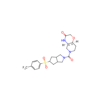 O=C1CO[C@H]2CCN(C(=O)N3CC4CC(S(=O)(=O)c5ccc(C(F)(F)F)cc5)CC4C3)C[C@H]2N1